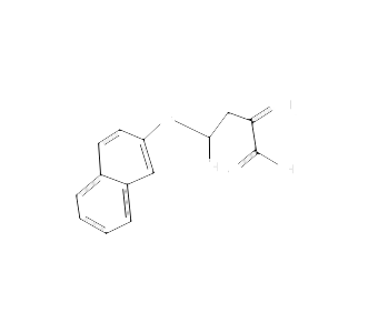 C=C(CC(O)Oc1ccc2ccccc2c1)C(=O)O